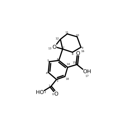 O=C(O)c1ccc(C23CCCCC2O3)c(C(=O)O)c1